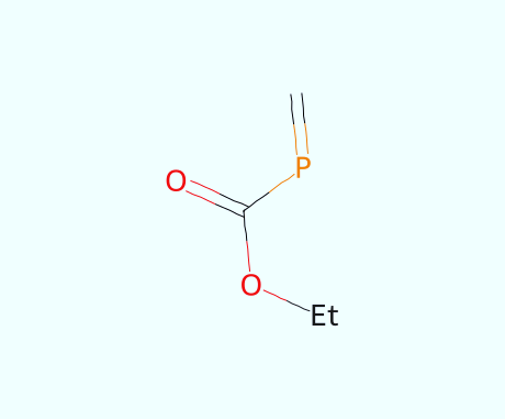 C=PC(=O)OCC